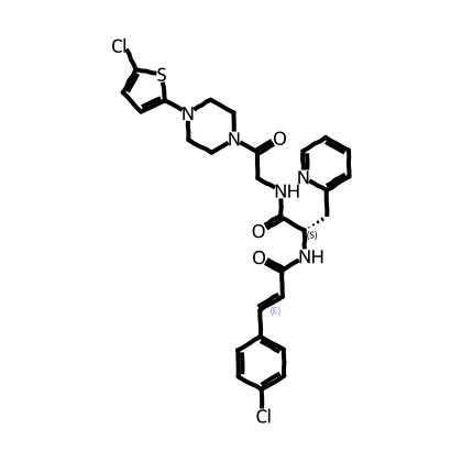 O=C(/C=C/c1ccc(Cl)cc1)N[C@@H](Cc1ccccn1)C(=O)NCC(=O)N1CCN(c2ccc(Cl)s2)CC1